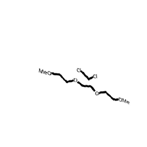 COCCOCCOCCOC.ClCCl